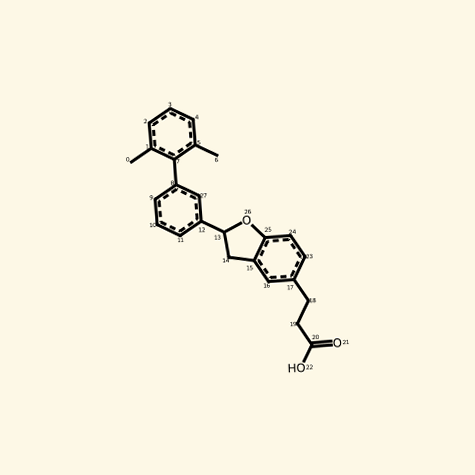 Cc1cccc(C)c1-c1cccc(C2Cc3cc(CCC(=O)O)ccc3O2)c1